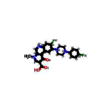 Cn1cc(C(=O)O)c(=O)c2c3cc(N4CCN(c5ccc(F)cc5)CC4)c(F)cc3ncc21